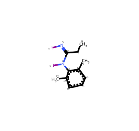 CC/C(=N/I)N(I)c1c(C)cccc1C